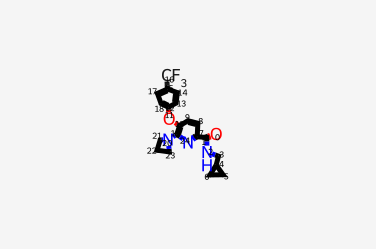 O=C(NCC1CC1)c1ccc(Oc2ccc(C(F)(F)F)cc2)c(N2CCC2)n1